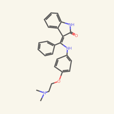 CN(C)CCOc1ccc(N/C(=C2\C(=O)Nc3ccccc32)c2ccccc2)cc1